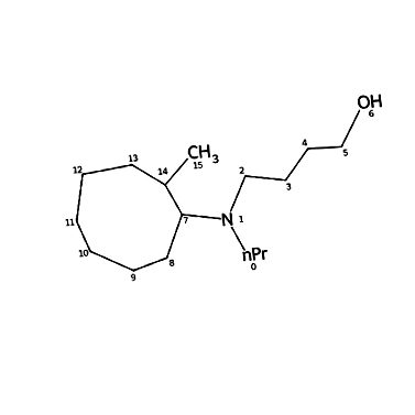 CCCN(CCCCO)C1CCCCCCC1C